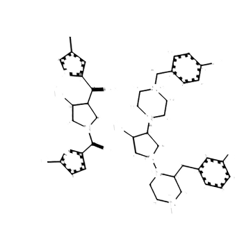 Cc1csc(C(=O)C2CN(C(=O)c3ccc(Br)s3)CC2O)c1.OC1CN(N2CCNCC2Cc2cccc(Cl)c2)CC1N1CCN(Cc2ccc(Cl)cc2)CC1